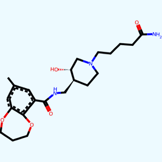 Cc1cc2c(c(C(=O)NC[C@@H]3CCN(CCCCC(N)=O)C[C@H]3O)c1)OCCCO2